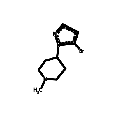 CN1CCC(n2nccc2Br)CC1